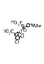 CNCc1ccc(N(OCC(=O)O)C(=O)COc2cc(C(=O)O)cc3cc(Cl)cc(Cl)c23)cc1